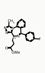 COC(=O)CC[C@@H]1N=C(c2ccc(F)cc2)c2ccccc2-n2c(C)nnc21